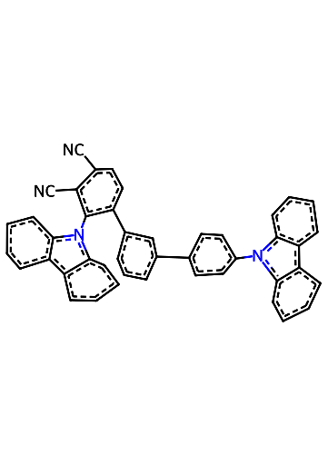 N#Cc1ccc(-c2cccc(-c3ccc(-n4c5ccccc5c5ccccc54)cc3)c2)c(-n2c3ccccc3c3ccccc32)c1C#N